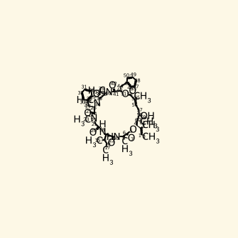 C/C=C(\C)[C@H]1OC(=O)[C@@H](C)NC(=O)C(C(C)CC)NC(=O)CN(C)C(=O)[C@@H](Cc2ccccc2)N(C)C(=O)[C@H](C)NC(=O)[C@@H](Cc2ccccc2)OC(=O)/C(C)=C/C[C@H](O)[C@@H]1C